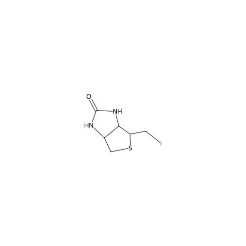 O=C1NC2CSC(CI)C2N1